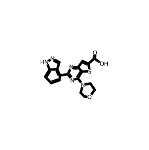 O=C(O)c1cc2nc(-c3cccc4[nH]ncc34)nc(N3CCOCC3)c2s1